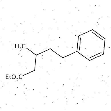 CCOC(=O)CC(C)CCc1ccccc1